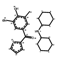 C1CCC(NC2CCCCC2)CC1.Cc1cc(C(=O)c2cccs2)cc(C(C)(C)C)c1O